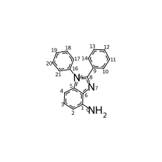 Nc1cccc2c1nc(-c1ccccc1)n2-c1ccccc1